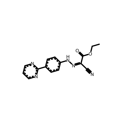 CCOC(=O)C(C#N)=NNc1ccc(-c2ncccn2)cc1